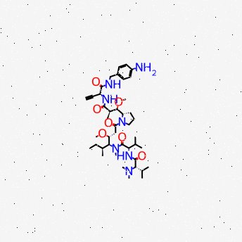 C#CC(NC(=O)[C@H](C)[C@@H](OC)[C@@H]1CCCN1C(=O)C[C@@H](OC)[C@H]([C@@H](C)CC)N(C)C(=O)[C@@H](NC(=O)[C@H](C(C)C)N(C)C)C(C)C)C(=O)NCc1ccc(N)cc1